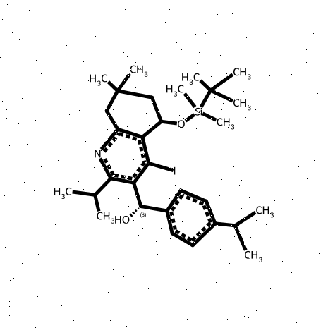 CC(C)c1ccc([C@H](O)c2c(C(C)C)nc3c(c2I)C(O[Si](C)(C)C(C)(C)C)CC(C)(C)C3)cc1